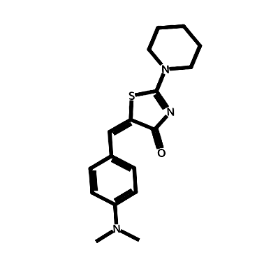 CN(C)c1ccc(/C=C2/SC(N3CCCCC3)=NC2=O)cc1